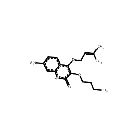 CCCCOc1c(OCC=C(C)C)c2ccc(N)cc2[nH]c1=O